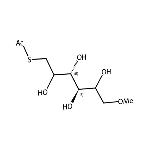 COCC(O)[C@@H](O)[C@@H](O)C(O)CSC(C)=O